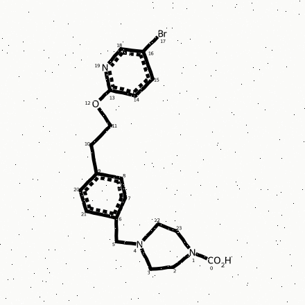 O=C(O)N1CCN(Cc2ccc(CCOc3ccc(Br)cn3)cc2)CC1